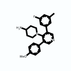 COc1ccc(-c2cncc(-c3cc(C)cc(F)c3)c2N2CCC(N)CC2)cc1